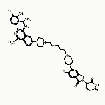 Cc1c(C(C)Nc2nnc(C)c3ccc(N4CCN(CCCCCN5CCC(c6cc7c(cc6F)C(=O)N(C6CCC(=O)NC6=O)C7)CC5)CC4)cc23)cccc1C(F)(F)F